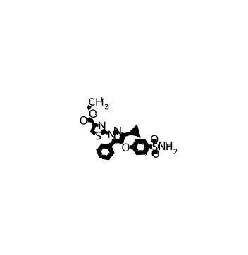 CCOC(=O)C1CSC(n2nc(C3CC3)c(Oc3ccc(S(N)(=O)=O)cc3)c2-c2ccccc2)=N1